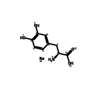 N[C@@H](Cc1ccc(O)c(O)c1)C(=O)O.[Na]